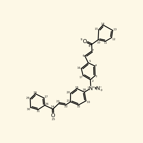 [N-]=[N+](c1ccc(C=CC(=O)c2ccccc2)cc1)c1ccc(C=CC(=O)c2ccccc2)cc1